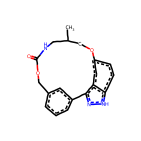 CC1CNC(=O)OCc2cccc(c2)-c2n[nH]c3ccc(cc23)OC1